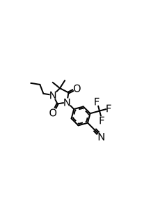 CCCN1C(=O)N(c2ccc(C#N)c(C(F)(F)F)c2)C(=O)C1(C)C